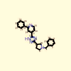 c1ccc(CN2CCC(c3n[nH]c(-c4ccnc(-c5ccccc5)c4)n3)C2)cc1